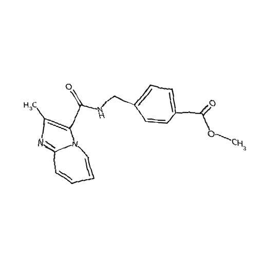 COC(=O)c1ccc(CNC(=O)c2c(C)nc3ccccn23)cc1